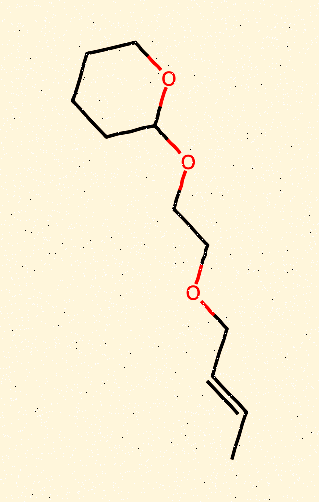 CC=CCOCCOC1CCCCO1